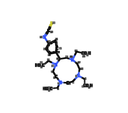 O=C(O)CN1CCN(CC(=O)O)CCN(CC(=O)O)C(c2ccc(N=C=S)cc2)CN(CC(=O)O)CC1